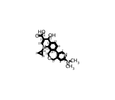 CN(C)c1cc2c(cn1)-c1ccc3c(c1COC2)N(C1CC1)C=C(C(=O)O)C3O